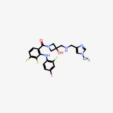 Cn1cnc(CNCC2(O)CN(C(=O)c3ccc(F)c(F)c3Nc3ccc(I)cc3F)C2)c1